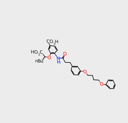 CCCCC(Oc1cc(C(=O)O)ccc1NC(=O)CCc1cccc(OCCCCOc2ccccc2)c1)C(=O)O